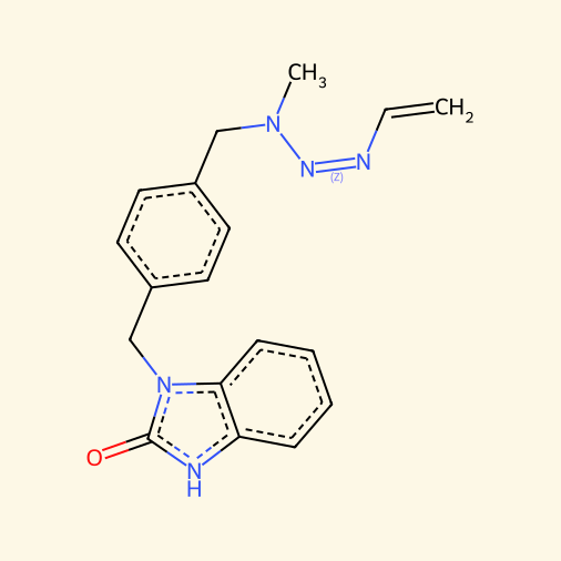 C=C/N=N\N(C)Cc1ccc(Cn2c(=O)[nH]c3ccccc32)cc1